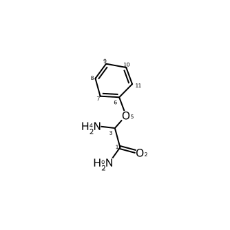 NC(=O)C(N)Oc1ccccc1